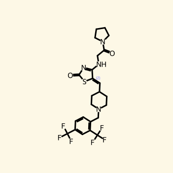 O=C1N=C(NCC(=O)N2CCCC2)/C(=C/C2CCN(Cc3ccc(C(F)(F)F)cc3C(F)(F)F)CC2)S1